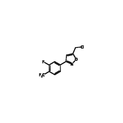 Fc1cc(-c2cc(CCl)on2)ccc1C(F)(F)F